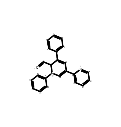 O=CC1C(c2ccccc2)=CC(c2ccccn2)=CN1c1ccccc1